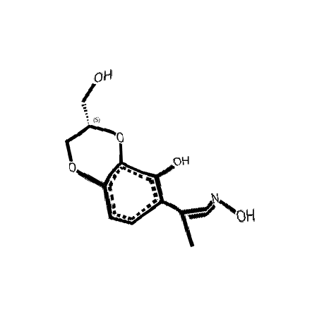 CC(=NO)c1ccc2c(c1O)O[C@@H](CO)CO2